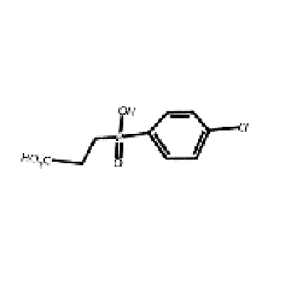 O=C(O)CCP(=O)(O)c1ccc(Cl)cc1